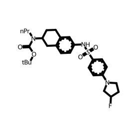 CCCN(C(=O)OC(C)(C)C)C1CCc2cc(NS(=O)(=O)c3ccc(N4CCC(F)C4)cc3)ccc2C1